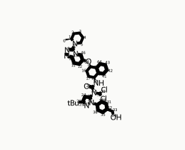 C[C@H]1CCCCN1c1nnc2ccc(O[C@@H]3CC[C@H](NC(=O)N(c4cc(C(C)(C)C)nn4-c4ccc(CO)cc4)C(Cl)Cl)c4ccccc43)cn12